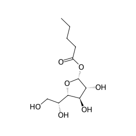 CCCCC(=O)O[C@H]1O[C@@H]([C@H](O)CO)[C@H](O)[C@H]1O